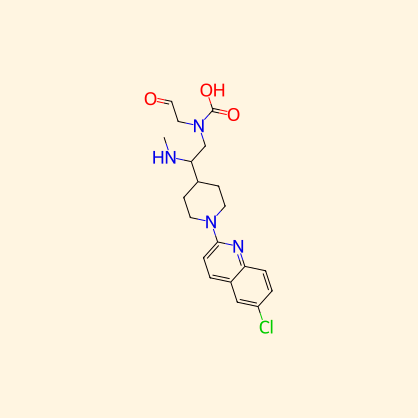 CNC(CN(CC=O)C(=O)O)C1CCN(c2ccc3cc(Cl)ccc3n2)CC1